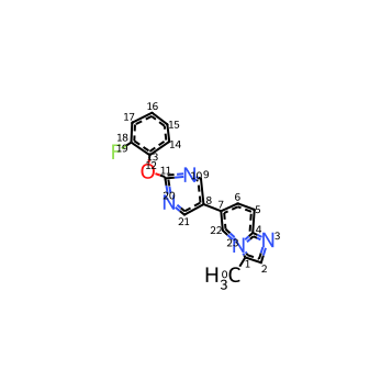 Cc1cnc2ccc(-c3cnc(Oc4ccccc4F)nc3)cn12